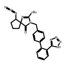 CCCCC1=NC2(CCCC2N=[N+]=[N-])C(=O)N1Cc1ccc(-c2ccccc2-c2nnn[nH]2)cc1